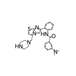 CN(C)c1cccc(C(=O)Nc2ccccc2-c2cn3c(CN4CCNCC4)csc3n2)c1